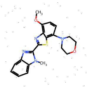 COc1ccc(N2CCOCC2)c2sc(-c3nc4ccccc4n3C)nc12